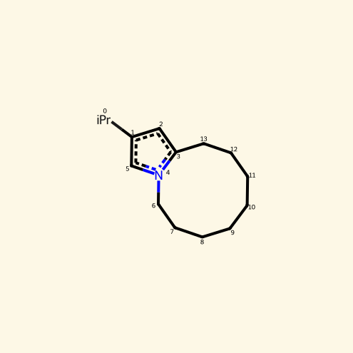 CC(C)c1cc2n(c1)CCCCCCCC2